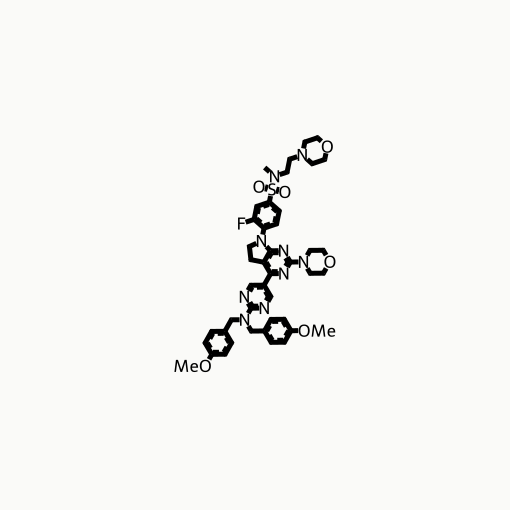 COc1ccc(CN(Cc2ccc(OC)cc2)c2ncc(-c3nc(N4CCOCC4)nc4c3CCN4c3ccc(S(=O)(=O)N(C)CCN4CCOCC4)cc3F)cn2)cc1